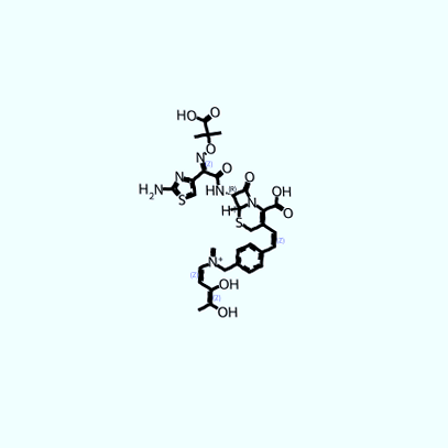 C=[N+](/C=C\C(O)=C(/C)O)Cc1ccc(/C=C\C2=C(C(=O)O)N3C(=O)[C@@H](NC(=O)/C(=N\OC(C)(C)C(=O)O)c4csc(N)n4)[C@H]3SC2)cc1